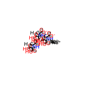 CC(NC(C(=O)O)C(=O)O)C(=O)[O-].CC(NC(C(=O)O)C(=O)O)C(=O)[O-].CC(NC(C(=O)O)C(=O)O)C(=O)[O-].[Na+].[Na+].[Na+]